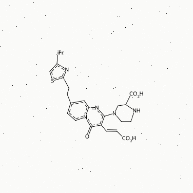 CC(C)c1csc(CCc2ccn3c(=O)c(C=CC(=O)O)c(N4CCNC(C(=O)O)C4)nc3c2)n1